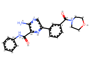 Nc1ncc(-c2cccc(C(=O)N3CCOCC3)c2)nc1C(=O)Nc1ccccc1